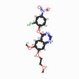 COCCOc1cc2ncnc(Oc3ccc([N+](=O)[O-])cc3F)c2cc1OC